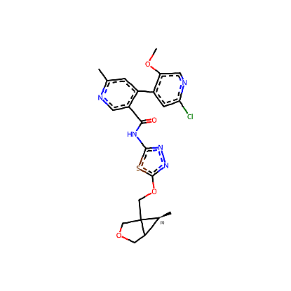 COc1cnc(Cl)cc1-c1cc(C)ncc1C(=O)Nc1nnc(OCC23COCC2[C@@H]3C)s1